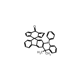 CC1(C)c2ccccc2N(c2ccccc2)c2cc3c(cc21)-c1ccccc1C31c2ccccc2C(=O)c2ccccc21